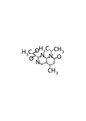 Cc1cc(=O)n(C(C)C)c2nc(S(C)(=O)=O)ncc12